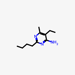 CCCCc1nc(C)c(CC)c(N)n1